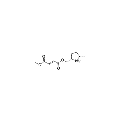 C=C1CC[C@@H](COC(=O)/C=C/C(=O)OC)N1